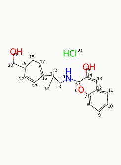 CC(C)(CNC1Oc2ccccc2C=C1O)C1=CCC(CO)C=C1.Cl